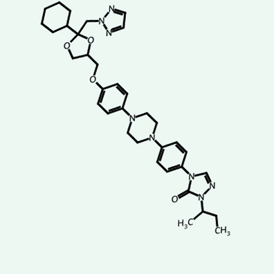 CCC(C)n1ncn(-c2ccc(N3CCN(c4ccc(OCC5COC(Cn6nccn6)(C6CCCCC6)O5)cc4)CC3)cc2)c1=O